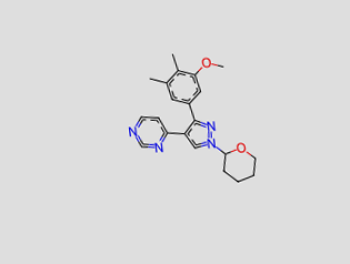 COc1cc(-c2nn(C3CCCCO3)cc2-c2ccncn2)cc(C)c1C